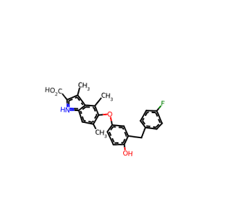 Cc1cc2[nH]c(C(=O)O)c(C)c2c(C)c1Oc1ccc(O)c(Cc2ccc(F)cc2)c1